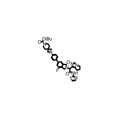 CC(C)COC(=O)N1CCC2(CC1)CN(c1ccc(-c3cc(F)c4c(c3)C(=O)N(C(C(=O)Nc3nccs3)c3ncn5c3CCC5)C4)cc1)C2